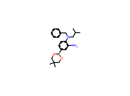 CC(C)CN(Cc1ccccc1)c1ccc(B2OCC(C)(C)CO2)cc1N